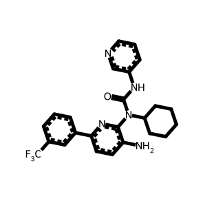 Nc1ccc(-c2cccc(C(F)(F)F)c2)nc1N(C(=O)Nc1cccnc1)C1CCCCC1